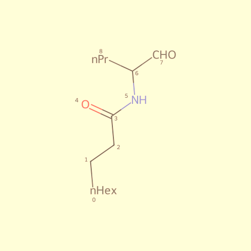 CCCCCCCCC(=O)NC(C=O)CCC